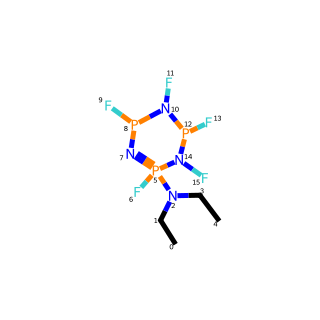 CCN(CC)P1(F)=NP(F)N(F)P(F)N1F